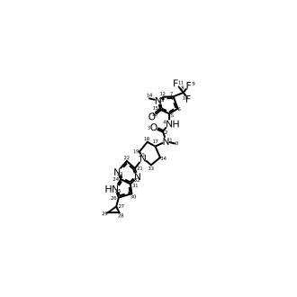 CN(C(=O)Nc1cc(C(F)(F)F)cn(C)c1=O)C1CCN(c2cnc3[nH]c(C4CC4)cc3n2)CC1